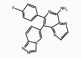 Nc1nc(-c2ccc(F)cc2)c(-c2ccc3nncn3c2)c2nccnc12